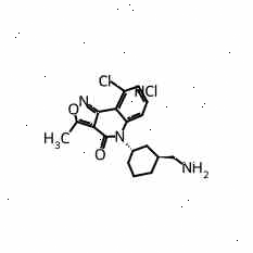 Cc1onc2c1c(=O)n([C@H]1CCC[C@H](CN)C1)c1cccc(Cl)c21.Cl